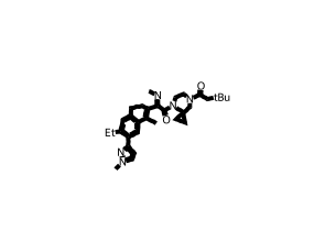 CCc1cc2c(cc1-c1ccn(C)n1)C(C)=C(/C(=N\C)C(=O)N1CCN(C(=O)CC(C)(C)C)CC13CC3)CC2